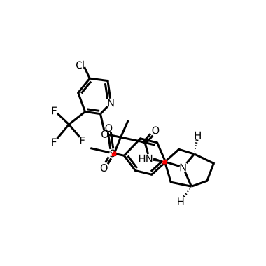 CC(C)(Oc1ncc(Cl)cc1C(F)(F)F)C(=O)N[C@H]1C[C@H]2CC[C@@H](C1)N2c1ccc(S(C)(=O)=O)cc1